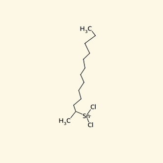 CCCCCCCCCCC[CH](C)[Sn]([Cl])[Cl]